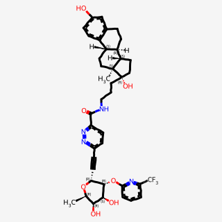 C[C@H]1O[C@H](C#Cc2ccc(C(=O)NCCC[C@]3(O)CC[C@H]4[C@@H]5CCc6cc(O)ccc6[C@H]5CC[C@@]43C)nn2)[C@H](Oc2cccc(C(F)(F)F)n2)[C@@H](O)[C@H]1O